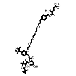 Cc1ncsc1-c1ccc(CNC(=O)[C@@H]2C[C@@H](O)CN2C(=O)[C@@H](NC(=O)C2(F)CC2)C(C)(C)C)c(OCCOCCOCCOCCOCCCc2ccc(CO[C@H](C)[C@@H](N)CCC(N)=O)cc2)c1